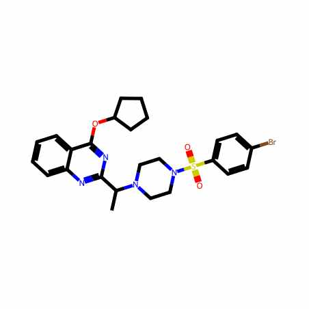 CC(c1nc(OC2CCCC2)c2ccccc2n1)N1CCN(S(=O)(=O)c2ccc(Br)cc2)CC1